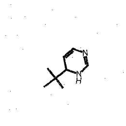 CC(C)(C)C1C=CN=CN1